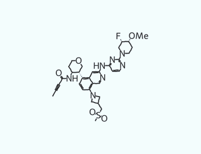 CC#CC(=O)N[C@H]1CCOC[C@@H]1c1ccc(N2CC(CS(C)(=O)=O)C2)c2cnc(Nc3ccnc(N4CC[C@@H](OC)[C@@H](F)C4)n3)cc12